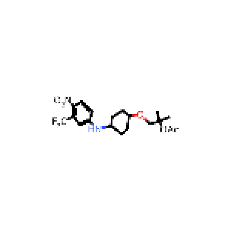 CC(=O)OC(C)(C)COC1CCC(Nc2ccc([N+](=O)[O-])c(C(F)(F)F)c2)CC1